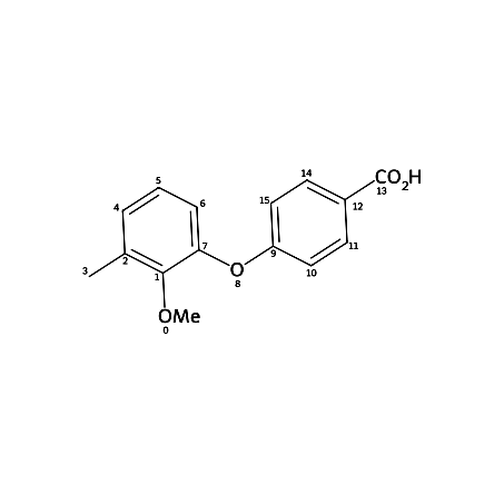 COc1c(C)cccc1Oc1ccc(C(=O)O)cc1